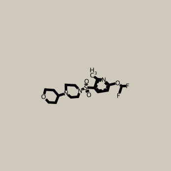 Cc1nc(OC(F)F)ccc1S(=O)(=O)N1CCN(C2CCOCC2)CC1